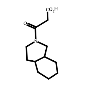 O=C(O)CC(=O)N1CCC2CCCCC2C1